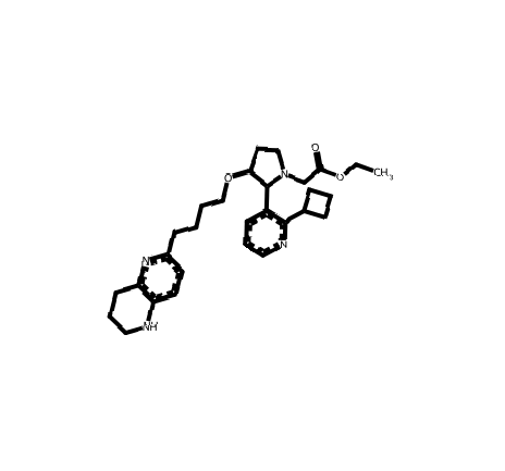 CCOC(=O)CN1CCC(OCCCCc2ccc3c(n2)CCCN3)C1c1cccnc1C1CCC1